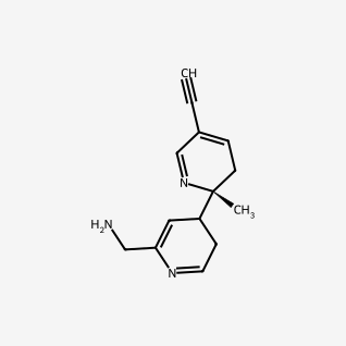 C#CC1=CC[C@](C)(C2C=C(CN)N=CC2)N=C1